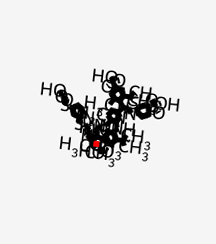 Cc1cc(N(c2nc3ccc(S(=O)(=O)O)cc3s2)c2c(C)cc(S(=O)(=O)O)cc2C(C)C)nc(Nc2c(C)cc(S(=O)(=O)O)cc2C(C)C)c1N=Nc1c(C#N)c(C(C)(C)C)nn1-c1nc2ccc(SOOO)cc2s1